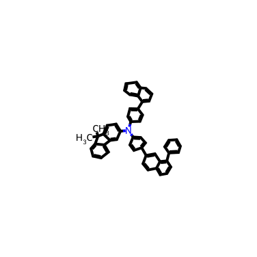 CC1(C)c2ccccc2-c2cc(N(c3ccc(-c4ccc5cccc(-c6ccccc6)c5c4)cc3)c3ccc(-c4cccc5ccccc45)cc3)ccc21